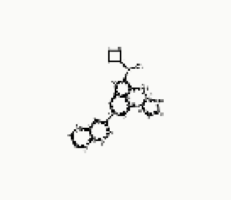 [O-][S+](c1sc2nc(-c3cnc4nccnc4c3)cc3c2c1[nH]n1nccc31)C1CCC1